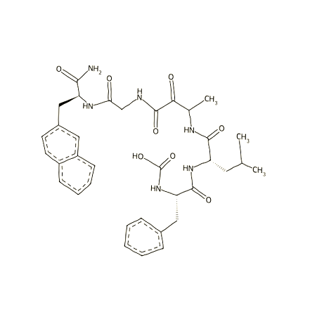 CC(C)C[C@H](NC(=O)[C@H](Cc1ccccc1)NC(=O)O)C(=O)NC(C)C(=O)C(=O)NCC(=O)N[C@@H](Cc1ccc2ccccc2c1)C(N)=O